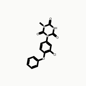 Cn1c(=O)[nH]c(=O)n(-c2ccc(Oc3ccccc3)c(Cl)c2)c1=O